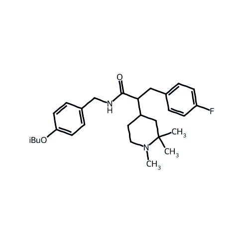 CC(C)COc1ccc(CNC(=O)C(Cc2ccc(F)cc2)C2CCN(C)C(C)(C)C2)cc1